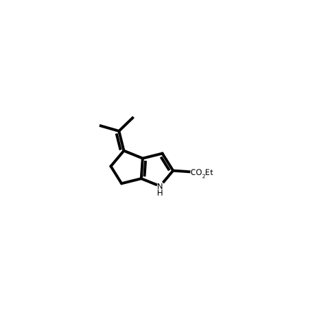 CCOC(=O)c1cc2c([nH]1)CCC2=C(C)C